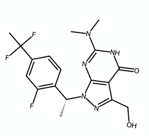 C[C@H](c1ccc(C(C)(F)F)cc1F)n1nc(CO)c2c(=O)[nH]c(N(C)C)nc21